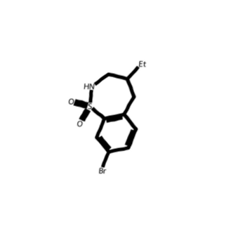 CCC1CNS(=O)(=O)c2cc(Br)ccc2C1